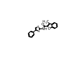 Cc1c(C(=O)Nc2nc(-c3ccccc3)cs2)oc2ccccc12